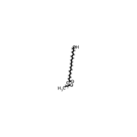 CCCC(=O)OC(=O)CCCCCCCCCCCCCCCCCO